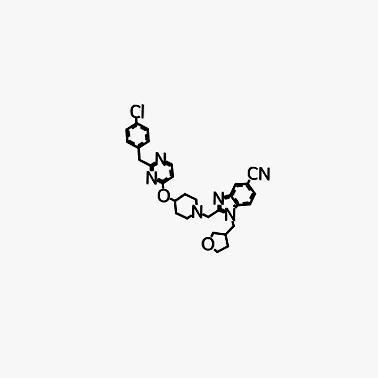 N#Cc1ccc2c(c1)nc(CN1CCC(Oc3ccnc(Cc4ccc(Cl)cc4)n3)CC1)n2CC1CCOC1